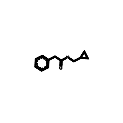 O=C(Cc1ccccc1)[N]CC1CC1